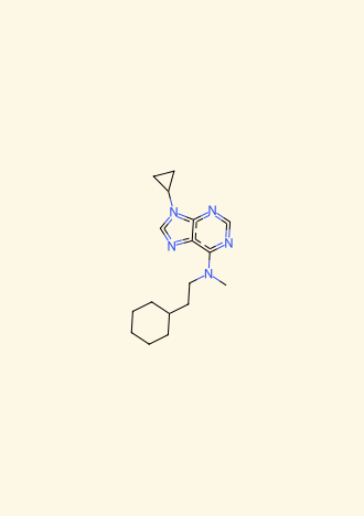 CN(CCC1CCCCC1)c1ncnc2c1ncn2C1CC1